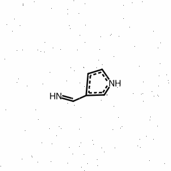 N=Cc1[c][nH]cc1